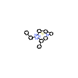 c1ccc(-c2cccc(-c3nc(-c4cccc(-c5ccccc5)c4)nc(-c4cccc5c4sc4c5ccc5c6ccccc6n(-c6ccccc6)c54)n3)c2)cc1